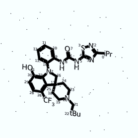 CC(C)c1nsc(NC(=O)Nc2ccccc2N2CC3(CCN(CC(C)(C)C)CC3)c3c(C(F)(F)F)ccc(O)c32)n1